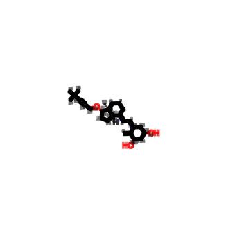 C=C1/C(=C\C=C2/CCC[C@]3(C)[C@@H](OCC#CC(C)(C)C)CC[C@@H]23)C[C@@H](O)C[C@@H]1O